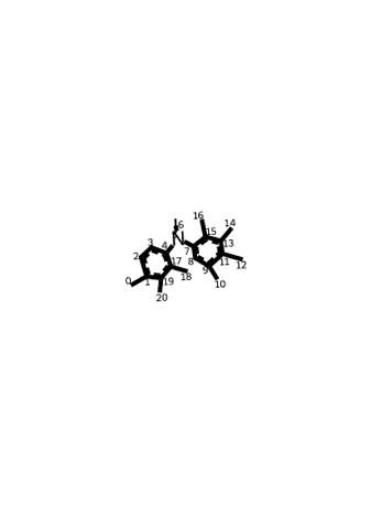 Cc1ccc(N(I)c2cc(C)c(C)c(C)c2C)c(C)c1C